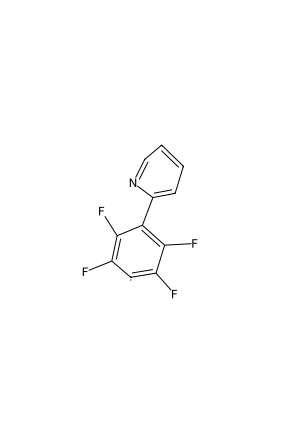 Fc1[c]c(F)c(F)c(-c2ccccn2)c1F